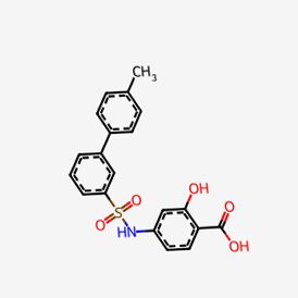 Cc1ccc(-c2cccc(S(=O)(=O)Nc3ccc(C(=O)O)c(O)c3)c2)cc1